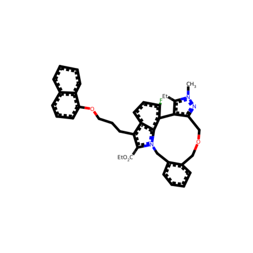 CCOC(=O)c1c(CCCOc2cccc3ccccc23)c2ccc(F)c3c2n1Cc1ccccc1COCc1nn(C)c(CC)c1-3